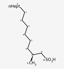 CCCCCCCCCCCCC[C@H](C)CS(=O)(=O)O